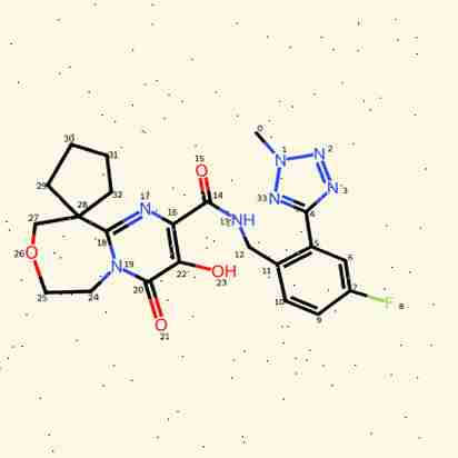 Cn1nnc(-c2cc(F)ccc2CNC(=O)c2nc3n(c(=O)c2O)CCOCC32CCCC2)n1